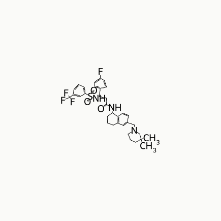 CC1(C)CCCN(Cc2ccc3c(c2)CCCC3NC(=O)CC(NS(=O)(=O)c2cccc(C(F)(F)F)c2)c2ccc(F)cc2)C1